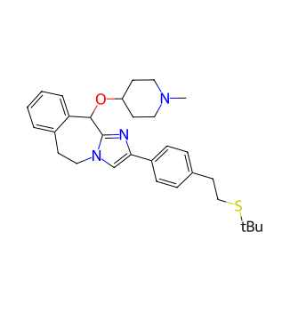 CN1CCC(OC2c3ccccc3CCn3cc(-c4ccc(CCSC(C)(C)C)cc4)nc32)CC1